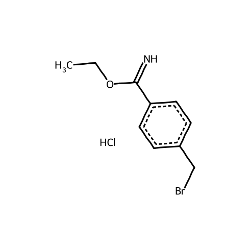 CCOC(=N)c1ccc(CBr)cc1.Cl